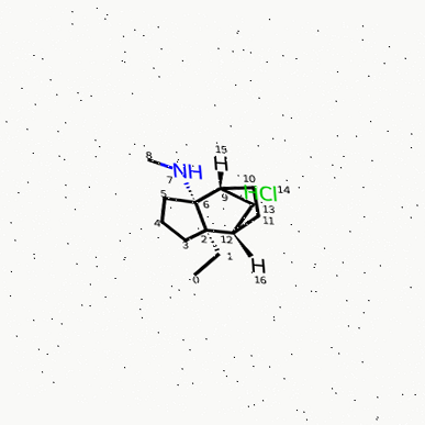 CC[C@]12CCC[C@@]1(NC)[C@@H]1CC[C@H]2C1.Cl